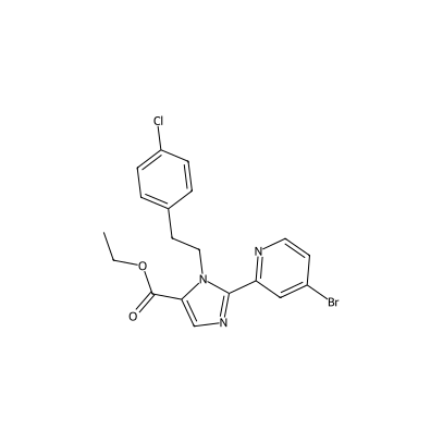 CCOC(=O)c1cnc(-c2cc(Br)ccn2)n1CCc1ccc(Cl)cc1